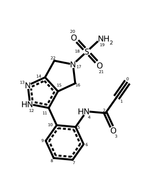 C#CC(=O)Nc1ccccc1-c1[nH]nc2c1CN(S(N)(=O)=O)C2